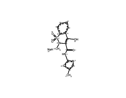 Cc1cnc(NC(=O)C2=C(O)c3ccccc3S(=O)(=O)N2C)s1.[NaH]